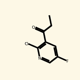 CCC(=O)c1cc(F)cnc1Cl